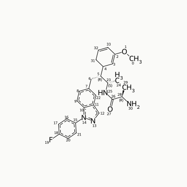 COC1=CC([C@@H](Cc2ccc3c(cnn3-c3ccc(F)cc3)c2)[C@H](C)NC(=O)[C@@H](C)N)CC=C1